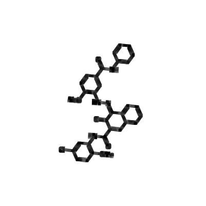 COc1ccc(C(=O)Nc2ccccc2)cc1N/N=C1\C(=O)C(C(=O)Nc2cc(Cl)ccc2OC)=Cc2ccccc21